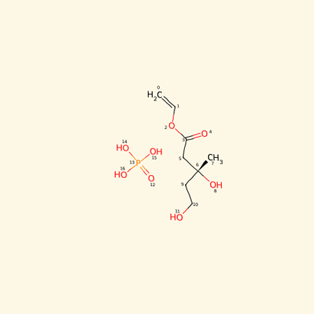 C=COC(=O)C[C@](C)(O)CCO.O=P(O)(O)O